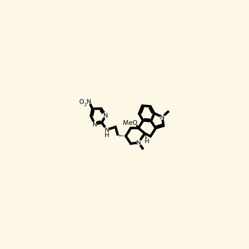 CO[C@]12C[C@@H](CCNc3ncc([N+](=O)[O-])cn3)CN(C)[C@@H]1Cc1cn(C)c3cccc2c13